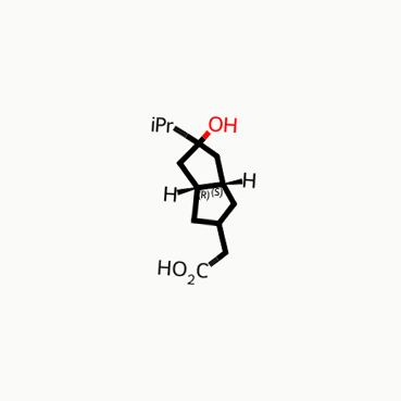 CC(C)C1(O)C[C@H]2CC(CC(=O)O)C[C@H]2C1